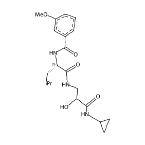 COc1cccc(C(=O)N[C@@H](CC(C)C)C(=O)NCC(O)C(=O)NC2CC2)c1